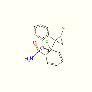 Cc1ccccc1C1(C2(F)C=CC=CC2C(N)=O)CC1F